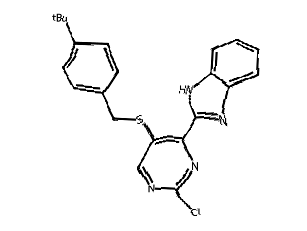 CC(C)(C)c1ccc(CSc2cnc(Cl)nc2-c2nc3ccccc3[nH]2)cc1